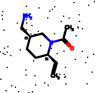 C=C[C@H]1CC[C@@H](CN)CN1C(C)=O